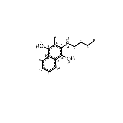 CCCCPc1c(C)c(O)c2ccccc2c1O